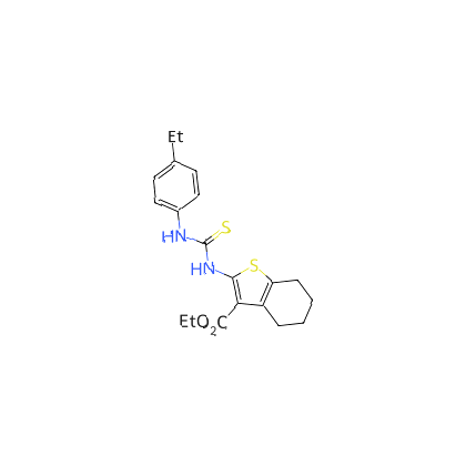 CCOC(=O)c1c(NC(=S)Nc2ccc(CC)cc2)sc2c1CCCC2